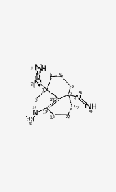 CC1(N=N)CCCC2(N=N)CCCC(N=N)=C12